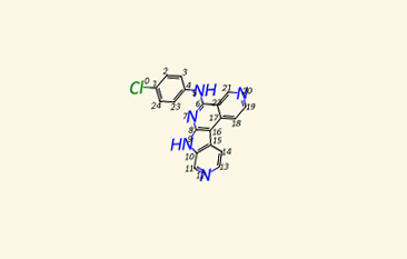 Clc1ccc(Nc2nc3[nH]c4cnccc4c3c3ccncc23)cc1